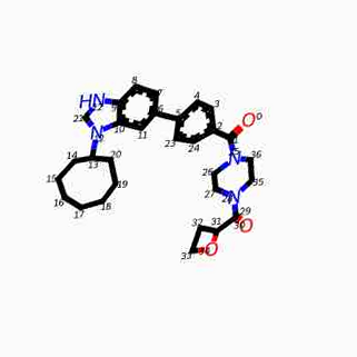 O=C(c1ccc(-c2ccc3c(c2)N(C2CCCCCCC2)CN3)cc1)N1CCN(C(=O)C2CCO2)CC1